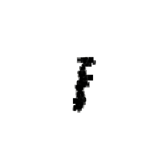 N=C(N)NCCCN1CCC(N2C=C3Oc4ccc(C5CCN(C(=O)Nc6cc(F)c(F)cc6F)CC5)cc4NC3=NC2O)CC1